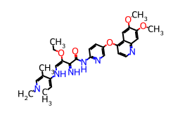 C=N/C=C(C)\C(=C/C)N/C=C(/OCC)C(=N)C(=O)Nc1ccc(Oc2ccnc3cc(OC)c(OC)cc23)cn1